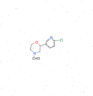 O=CN1CCOC(c2ccc(Cl)nc2)C1